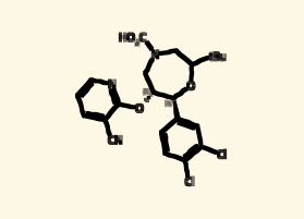 CC(C)(C)C1CN(C(=O)O)C[C@@H](Oc2ncccc2C#N)[C@H](c2ccc(Cl)c(Cl)c2)O1